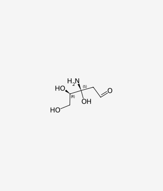 N[C@](O)(CC=O)[C@H](O)CO